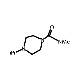 CNC(=O)N1CCN(C(C)C)CC1